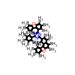 Bc1c(B)c(B)c(-c2nc(-c3c(B)c(B)c4c(B)c(B)c5oc6c(B)c(B)c(B)c(B)c6c5c4c3B)nc(-c3c(B)c(B)c(B)c4oc5c(B)c(B)c(B)c(B)c5c34)n2)c(B)c1B